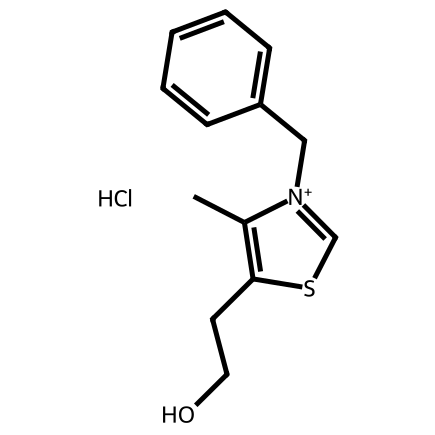 Cc1c(CCO)sc[n+]1Cc1ccccc1.Cl